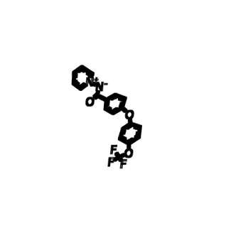 O=C([N-][n+]1ccccc1)c1ccc(Oc2ccc(OC(F)(F)F)cc2)cc1